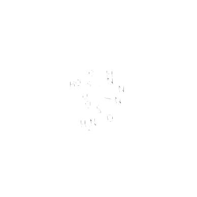 NS(=O)(=O)c1nn[nH]c1S(=O)(=O)O